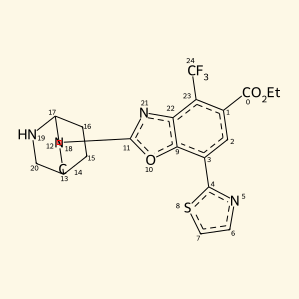 CCOC(=O)c1cc(-c2nccs2)c2oc(N3CC4CCC(C3)NC4)nc2c1C(F)(F)F